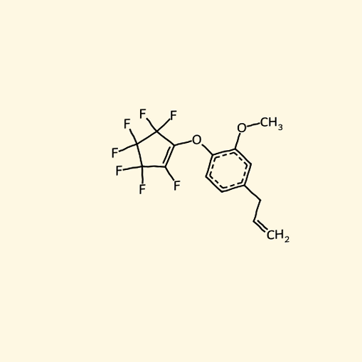 C=CCc1ccc(OC2=C(F)C(F)(F)C(F)(F)C2(F)F)c(OC)c1